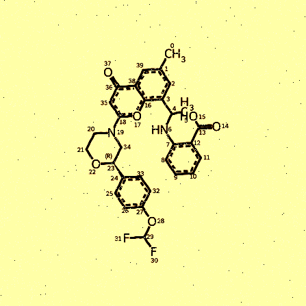 Cc1cc(C(C)Nc2ccccc2C(=O)O)c2oc(N3CCO[C@H](c4ccc(OC(F)F)cc4)C3)cc(=O)c2c1